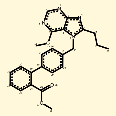 CCCc1nc2ncnc(OC)c2n1Cc1ccc(-c2ccccc2C(=O)OC)cc1